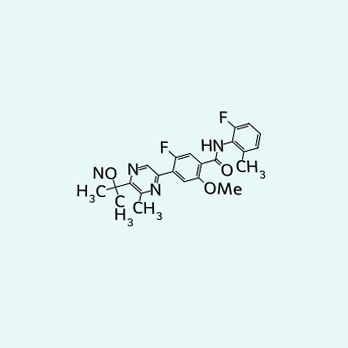 COc1cc(-c2cnc(C(C)(C)N=O)c(C)n2)c(F)cc1C(=O)Nc1c(C)cccc1F